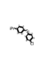 CC(C)c1ccc(Sc2ccc(Cl)cc2)cc1